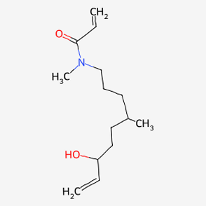 C=CC(=O)N(C)CCCC(C)CCC(O)C=C